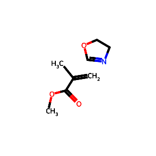 C1=NCCO1.C=C(C)C(=O)OC